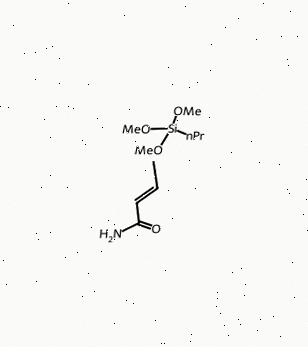 CC=CC(N)=O.CCC[Si](OC)(OC)OC